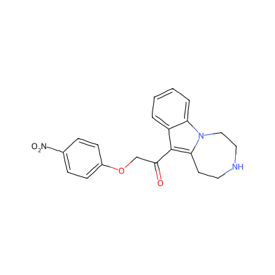 O=C(COc1ccc([N+](=O)[O-])cc1)c1c2n(c3ccccc13)CCNCC2